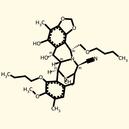 CCCCOC[C@H]1c2c3c(c(C)c(O)c2[C@@H](O)[C@H]2[C@@H]4c5c(cc(C)c(OC)c5OCCCC)CC([C@H](C#N)N21)N4C)OCO3